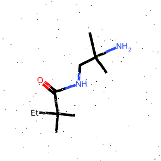 CCC(C)(C)C(=O)NCC(C)(C)N